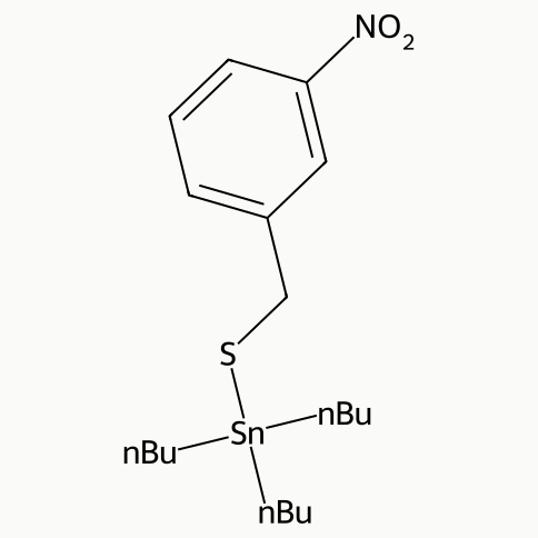 CCC[CH2][Sn]([CH2]CCC)([CH2]CCC)[S]Cc1cccc([N+](=O)[O-])c1